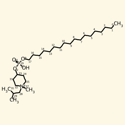 CCCCCCCCCCCCCCCCCCOP(=O)(O)OC1CC[N+](C)(CC(C)C)CC1